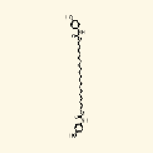 O=C(Nc1ccc(O)cc1)OCCCCCCCCCCCCCCCCCCCOC(=O)Nc1ccc(O)cc1